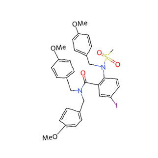 COc1ccc(CN(Cc2ccc(OC)cc2)C(=O)c2cc(I)ccc2N(Cc2ccc(OC)cc2)S(C)(=O)=O)cc1